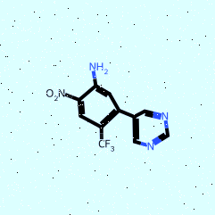 Nc1cc(-c2cncnc2)c(C(F)(F)F)cc1[N+](=O)[O-]